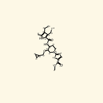 COC(=O)c1cnc(N2CCC(NC(=O)c3[nH]c(C)c(CI)c3CI)C(OCC3CC3)C2)s1